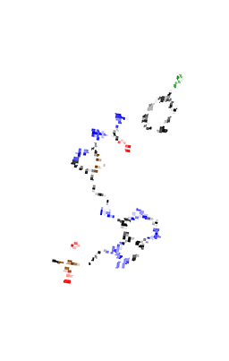 CS(=O)(=O)CCn1ncc2ncnc(NCCc3cnc(NC(=O)Nc4cccc(Cl)c4)s3)c21